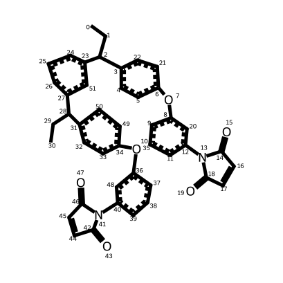 CCC(c1ccc(Oc2cccc(N3C(=O)C=CC3=O)c2)cc1)c1cccc(C(CC)c2ccc(Oc3cccc(N4C(=O)C=CC4=O)c3)cc2)c1